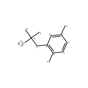 Cc1ccc(C)c(CC(C)(C)C(F)(F)F)c1